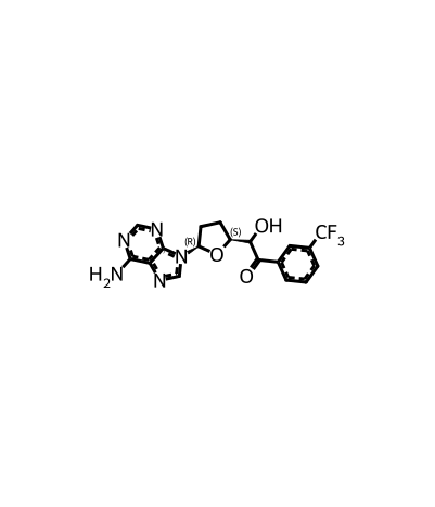 Nc1ncnc2c1ncn2[C@H]1CC[C@@H](C(O)C(=O)c2cccc(C(F)(F)F)c2)O1